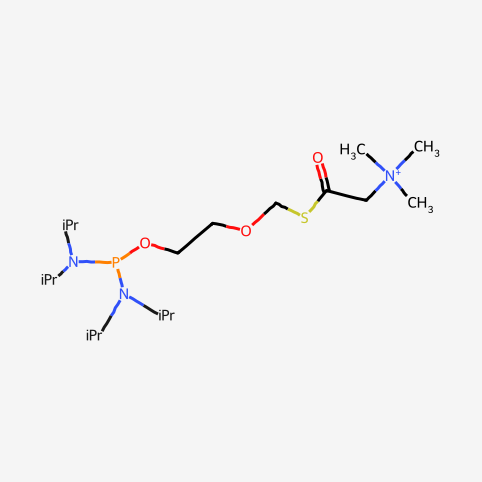 CC(C)N(C(C)C)P(OCCOCSC(=O)C[N+](C)(C)C)N(C(C)C)C(C)C